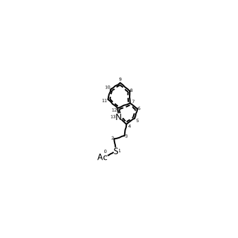 CC(=O)SCCc1ccc2ccccc2n1